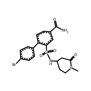 CN1CCC(NS(=O)(=O)c2cc(C(N)=O)ccc2-c2ccc(Br)cc2)CC1=O